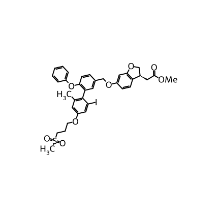 COC(=O)C[C@@H]1COc2cc(OCc3ccc(Oc4ccccc4)c(-c4c(C)cc(OCCCS(C)(=O)=O)cc4I)c3)ccc21